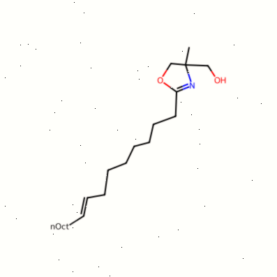 CCCCCCCC/C=C/CCCCCCCC1=NC(C)(CO)CO1